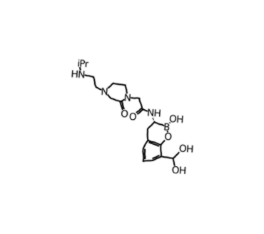 CC(C)NCCN1CCN(CC(=O)N[C@H]2Cc3cccc(C(O)O)c3OB2O)C(=O)C1